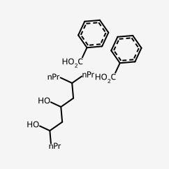 CCCC(O)CC(O)CC(CCC)CCC.O=C(O)c1ccccc1.O=C(O)c1ccccc1